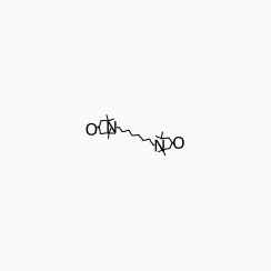 CC1(C)CC(=O)CC(C)(C)N1CCCCCCCCN1C(C)(C)CC(=O)CC1(C)C